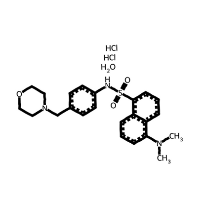 CN(C)c1cccc2c(S(=O)(=O)Nc3ccc(CN4CCOCC4)cc3)cccc12.Cl.Cl.O